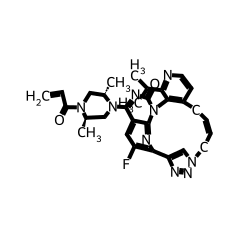 C=CC(=O)N1C[C@H](C)N(c2nc(=O)n3c4nc(c(F)cc24)-c2cn(nn2)C/C=C\Cc2ccnc(C(C)C)c2-3)C[C@H]1C